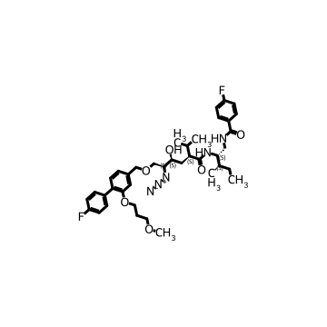 CC[C@H](C)[C@@H](CNC(=O)c1ccc(F)cc1)NC(=O)[C@@H](C[C@H](O)[C@H](COCc1ccc(-c2ccc(F)cc2)c(OCCCOC)c1)N=[N+]=[N-])C(C)C